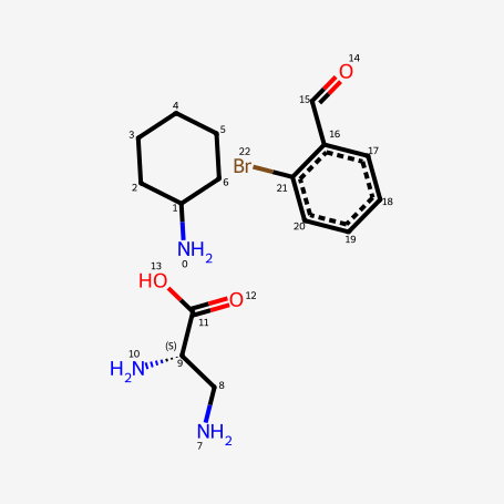 NC1CCCCC1.NC[C@H](N)C(=O)O.O=Cc1ccccc1Br